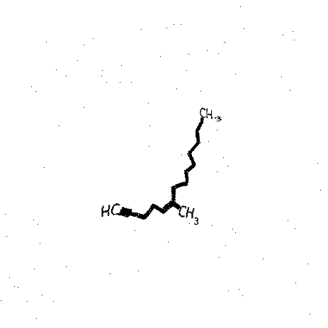 C#CCCC=C(C)CCCCCCCCC